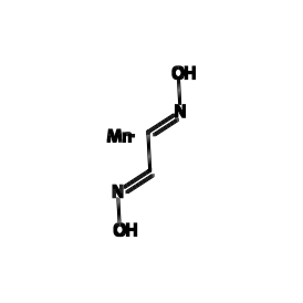 O/N=C/C=N/O.[Mn]